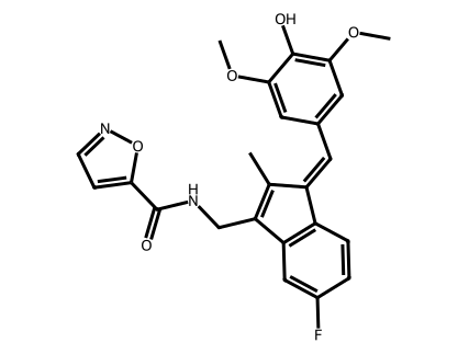 COc1cc(C=C2C(C)=C(CNC(=O)c3ccno3)c3cc(F)ccc32)cc(OC)c1O